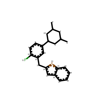 CC1CC(C)CC(c2ccc(F)c(Cc3cc4ccccc4s3)c2)C1